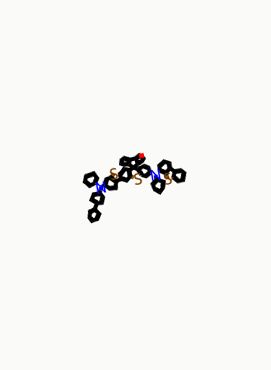 c1ccc(-c2ccc(N(c3ccccc3)c3ccc4c(c3)sc3cc5c(cc34)Sc3cc(N(c4ccccc4)c4cccc6c4sc4ccccc46)ccc3C53c4ccccc4-c4ccccc43)cc2)cc1